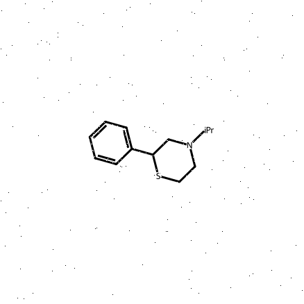 CC(C)N1CCSC(c2ccccc2)C1